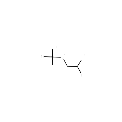 CC(C)(N)OCC(F)F